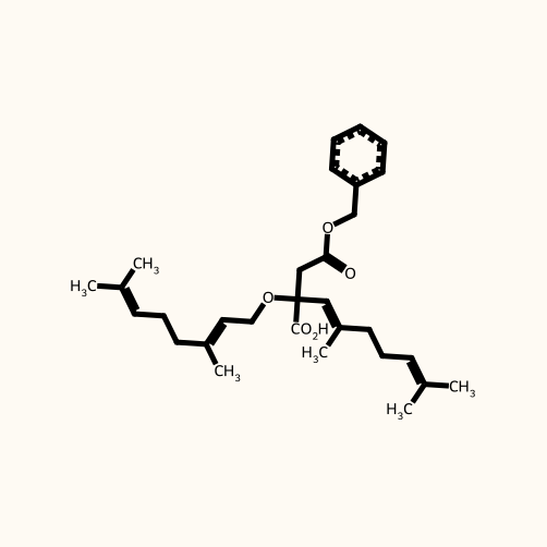 CC(C)=CCC/C(C)=C/COC(/C=C(\C)CCC=C(C)C)(CC(=O)OCc1ccccc1)C(=O)O